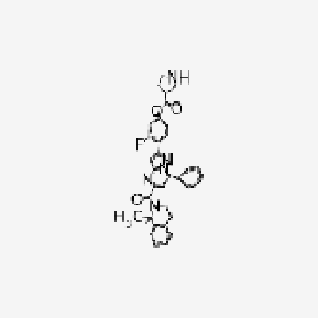 C[C@@H]1c2ccccc2CCN1C(=O)c1cc(-c2ccccc2)n2nc(-c3ccc(OC(=O)C4CCNC4)cc3F)cc2n1